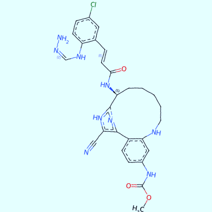 COC(=O)Nc1ccc2c(c1)NCCCCC[C@H](NC(=O)/C=C/c1cc(Cl)ccc1N/C=N\N)c1nc-2c(C#N)[nH]1